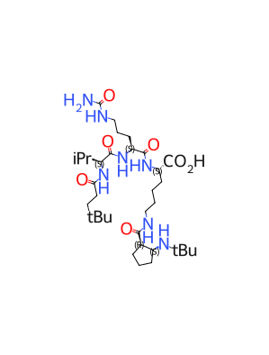 CC(C)[C@H](NC(=O)CCC(C)(C)C)C(=O)N[C@@H](CCCNC(N)=O)C(=O)N[C@@H](CCCCNC(=O)[C@@H]1CCC[C@@H]1NC(C)(C)C)C(=O)O